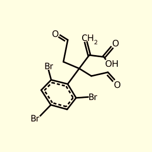 C=C(C(=O)O)C(CC=O)(CC=O)c1c(Br)cc(Br)cc1Br